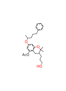 CC(=O)Oc1cc(OC(C)CCCc2ccccc2)cc2c1CC(CCCO)C(C)(C)O2